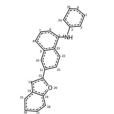 c1ccc(Nc2cccc3cc(-c4cc5ccccc5o4)ccc23)cc1